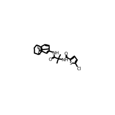 CN1CC2CCC(C1)c1cc(NC(=O)C(C)(C)NC(=O)c3ccc(Cl)s3)ccc12